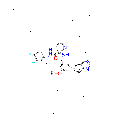 CC(C)Oc1cc(CNC2N=CC=C[C@@H]2C(=O)NCc2ccc(F)c(F)c2)cc(-c2ccc3ncncc3c2)c1